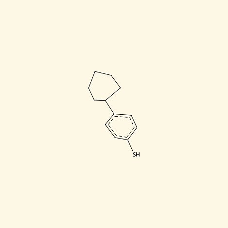 Sc1ccc(C2CCCCC2)cc1